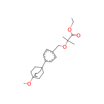 CCOC(=O)C(C)(C)OCc1ccc(C23CCC(OC)(CC2)CC3)cc1